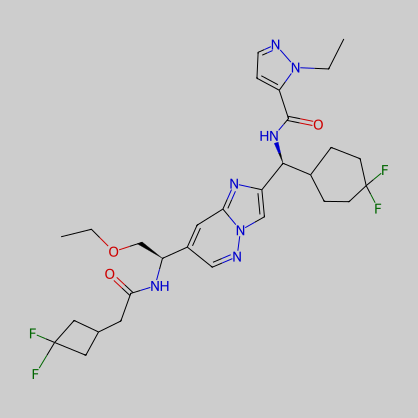 CCOC[C@H](NC(=O)CC1CC(F)(F)C1)c1cnn2cc([C@@H](NC(=O)c3ccnn3CC)C3CCC(F)(F)CC3)nc2c1